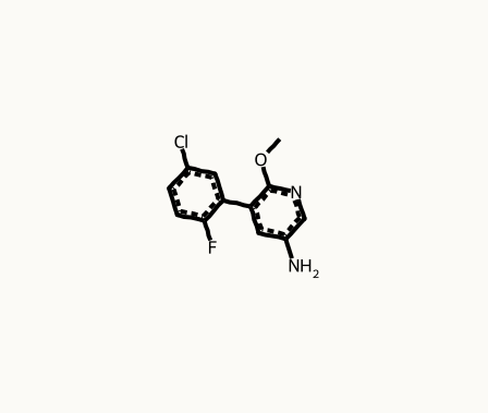 COc1ncc(N)cc1-c1cc(Cl)ccc1F